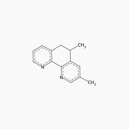 Cc1cnc2c(c1)C(C)Cc1cccnc1-2